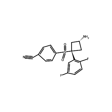 N#Cc1ccc(S(=O)(=O)[C@]2(c3cc(F)ccc3F)C[C@H](N)C2)cc1